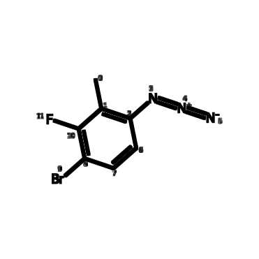 Cc1c(N=[N+]=[N-])ccc(Br)c1F